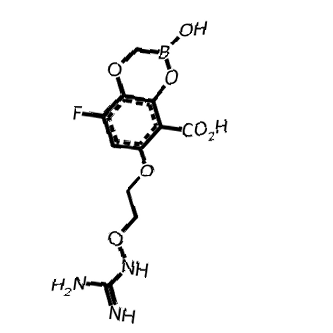 N=C(N)NOCCOc1cc(F)c2c(c1C(=O)O)OB(O)CO2